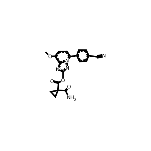 COc1ccc(-c2ccc(C#N)cc2)n2nc(OC(=O)C3(C(N)=O)CC3)nc12